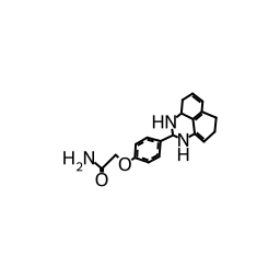 NC(=O)COc1ccc(C2NC3=CCCC4=C3C(CC=C4)N2)cc1